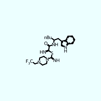 CCCCC(Cc1c[nH]c2ccccc12)NC(=O)C(=N)SC(=N)N1CCN(CC(F)(F)F)CC1